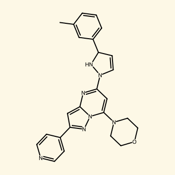 Cc1cccc(C2C=CN(c3cc(N4CCOCC4)n4nc(-c5ccncc5)cc4n3)N2)c1